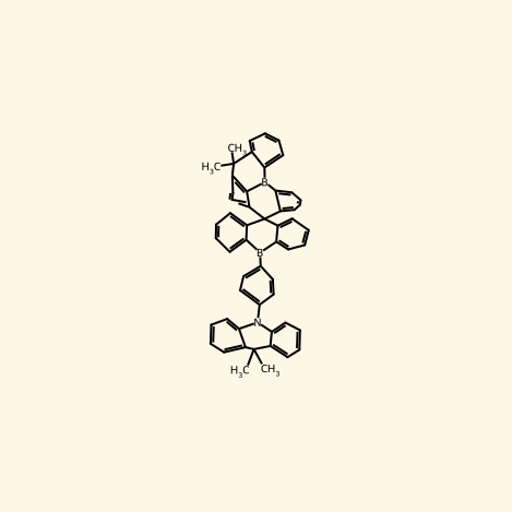 CC1(C)c2ccccc2N(c2ccc(B3c4ccccc4C4(c5ccccc53)c3ccccc3B3c5ccccc5C(C)(C)c5cccc4c53)cc2)c2ccccc21